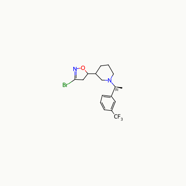 C[C@@H](c1cccc(C(F)(F)F)c1)N1CCCC(C2CC(Br)=NO2)C1